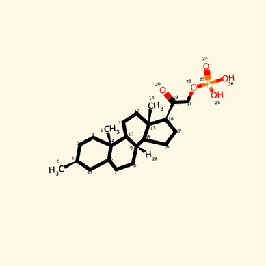 C[C@H]1CC[C@@]2(C)C(CC[C@@H]3C2CC[C@@]2(C)C3CC[C@@H]2C(=O)COP(=O)(O)O)C1